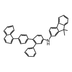 CC1(C)c2ccccc2-c2ccc(Nc3ccc(-c4ccc(-c5cccc6ccccc56)cc4)c(-c4ccccc4)c3)cc21